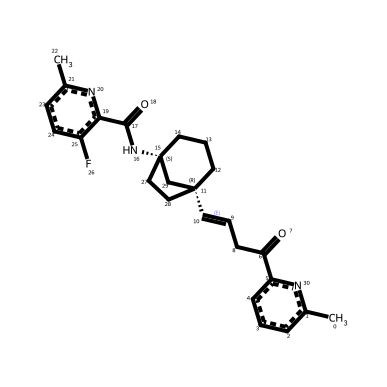 Cc1cccc(C(=O)C/C=C/[C@]23CCC[C@](NC(=O)c4nc(C)ccc4F)(CC2)C3)n1